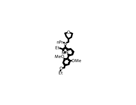 CCCN(CC1CCOCC1)c1c(CC)nn2c(-c3c(OC)cc(COCC)cc3OC)cccc12